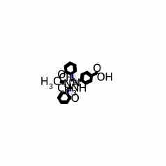 CC(C)(C)N1/C(=C2\C=CC=CC2=O)NN(c2ccc(C(=O)O)cc2)/C1=C1\C=CC=CC1=O